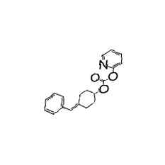 O=C(Oc1ccccn1)OC1CCC(=Cc2ccccc2)CC1